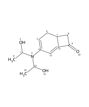 CC(O)N(C1=CCC2CC(=O)C2=C1)C(C)O